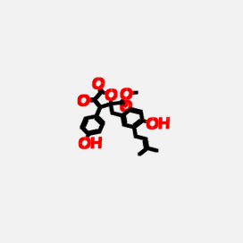 COC(=O)C1(Cc2ccc(O)c(CC=C(C)C)c2)OC(=O)C(=O)C1c1ccc(O)cc1